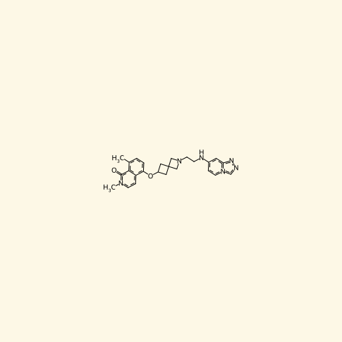 Cc1ccc(OC2CC3(C2)CN(CCNc2ccn4cnnc4c2)C3)c2ccn(C)c(=O)c12